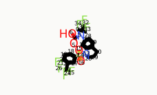 CC(C)(N(C(=O)O)c1ccc2c(c1)N(S(=O)(=O)c1ccc(F)c(C(F)(F)F)c1)CCC2)C(F)(F)F